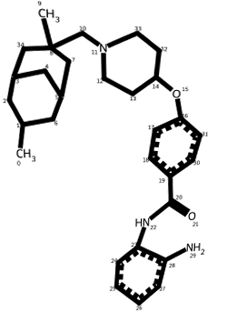 CC1CC2CC(C1)CC(C)(CN1CCC(Oc3ccc(C(=O)Nc4ccccc4N)cc3)CC1)C2